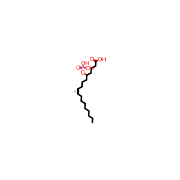 CCCCCCCC/C=C\CCCC(CCCC(=O)O)OP(=O)(O)O